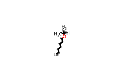 [Li][CH2]CCCCCOC(C)(C)CC